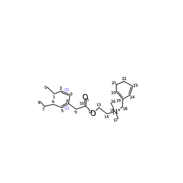 CC/C=C\C(=C/CCC)CC(=O)OCC[N+](C)(C)CC1=CCCC=C1